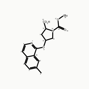 Cc1ccc2ccnc(OC3CC(C(=O)O)N(C(=O)OC(C)(C)C)C3)c2c1